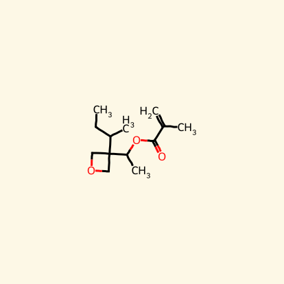 C=C(C)C(=O)OC(C)C1(C(C)CC)COC1